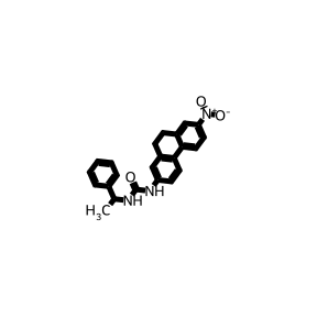 CC(NC(=O)Nc1ccc2c(c1)CCc1cc([N+](=O)[O-])ccc1-2)c1ccccc1